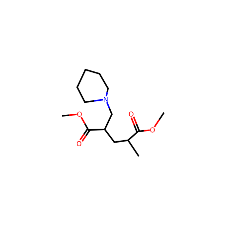 COC(=O)C(C)CC(CN1CCCCC1)C(=O)OC